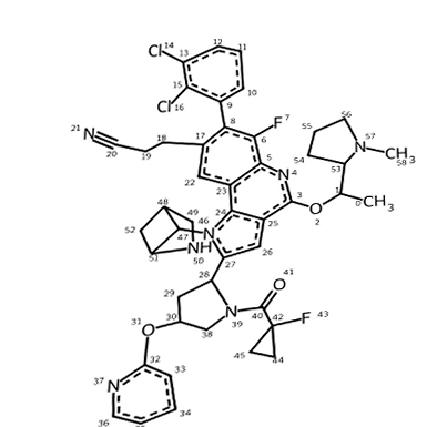 CC(Oc1nc2c(F)c(-c3cccc(Cl)c3Cl)c(CCC#N)cc2c2c1cc(C1CC(Oc3ccccn3)CN1C(=O)C1(F)CC1)n2C1C2CNC1C2)C1CCCN1C